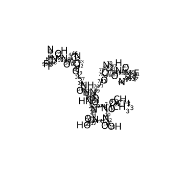 CC(C)(C)OC(=O)CN1CCN(CC(=O)O)CCN(CC(=O)O)CCN(CC(=O)N[C@@H](CCC(=O)NCCCCOc2ccc3nccc(C(=O)NCC(=O)N4CC(F)(F)C[C@H]4C#N)c3c2)C(=O)NCCCCOc2ccc3nccc(C(=O)NCC(=O)N4CC(F)(F)C[C@H]4C#N)c3c2)CC1